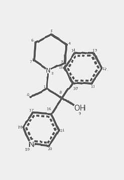 CC(N1CCCCC1)C(O)(c1ccccc1)c1ccncc1